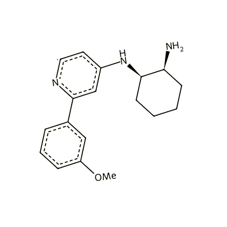 COc1cccc(-c2cc(N[C@@H]3CCCC[C@@H]3N)c[c]n2)c1